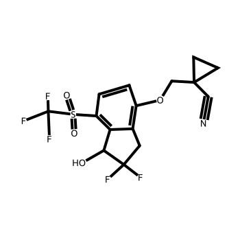 N#CC1(COc2ccc(S(=O)(=O)C(F)(F)F)c3c2CC(F)(F)C3O)CC1